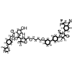 Cc1ncsc1-c1ccc(CNC(=O)[C@@H]2C[C@@H](O)CN2C(=O)[C@@H](NC(=O)COCCCCOc2cccc(-c3ccc(N4C(=S)N(c5ccc(C#N)c(C(F)(F)F)c5)C(=O)C4(C)C)cc3)c2)C(C)(C)C)cc1